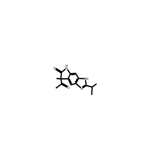 CC(=O)C1(C)C(=O)Nc2cc3[nH]c(C(C)C)nc3cc21